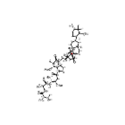 CCCCC1C(C)(C)[C@@H](O)CC[C@]1(C)C1CC[C@@H]2C3C4N(CCNC(=O)[C@H](C)[C@@H](OC)C5CCCN5C(=O)C[C@@H](OC)[C@H]([C@@H](C)CC)N(C)C(=O)[C@@H](NC(=O)[C@H](C(C)C)N(C)C)C(C)C)C(=O)[C@@]3(CCC4(C)C)CC[C@@]2(C)C1